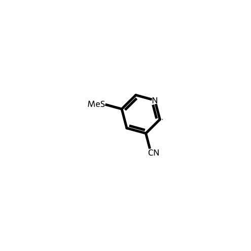 CSc1cn[c]c(C#N)c1